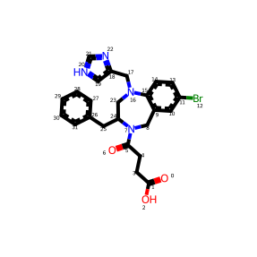 O=C(O)CCC(=O)N1Cc2cc(Br)ccc2N(Cc2c[nH]cn2)CC1Cc1ccccc1